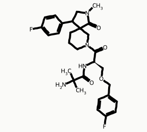 CN1CC(c2ccc(F)cc2)C2(CCCN(C(=O)[C@@H](COCc3ccc(F)cc3)NC(=O)C(C)(C)N)C2)C1=O